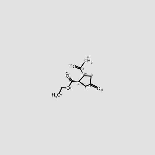 CCOC(=O)[C@@H]1CC(=O)C[C@H]1C(C)=O